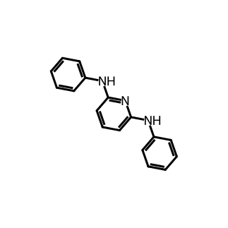 c1ccc(Nc2cccc(Nc3ccccc3)n2)cc1